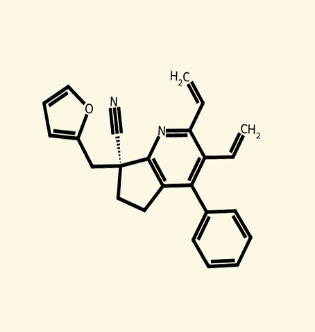 C=Cc1nc2c(c(-c3ccccc3)c1C=C)CC[C@@]2(C#N)Cc1ccco1